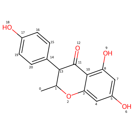 CC1Oc2cc(O)cc(O)c2C(=O)C1c1ccc(O)cc1